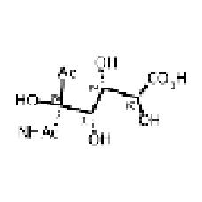 CC(=O)N[C@](O)(C(C)=O)[C@@H](O)[C@H](O)[C@H](O)C(=O)O